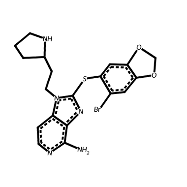 Nc1nccc2c1nc(Sc1cc3c(cc1Br)OCO3)n2CCC1CCCN1